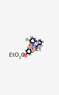 CCOC(=O)Oc1ccc(S(=O)(=O)N2c3cc(F)ccc3-n3cccc3[C@@H]2CC)cc1